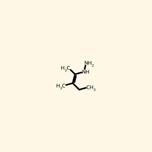 CCC(C)=C(C)NN